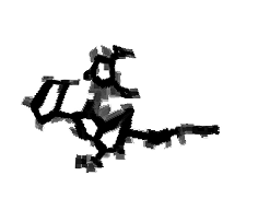 CCCCCCCC#Cc1nc(N)c2nc(-c3cccs3)n([C@@H]3OC[C@@H](O)[C@H]3O)c2n1